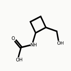 O=C(O)NC1CCC1CO